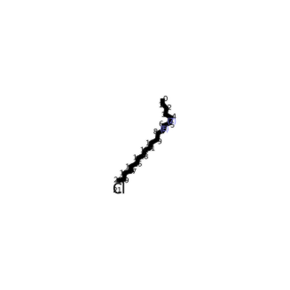 CCCC/C=C\C=C\CCCCCCCCCCCCCCl